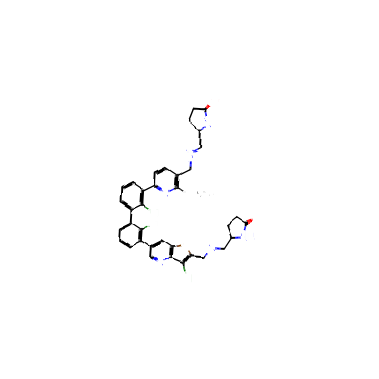 COc1nc(-c2cccc(-c3cccc(-c4cnc5c(Cl)c(CNCC6CCC(=O)N6)sc5c4)c3Cl)c2Cl)ccc1CNCC1CCC(=O)N1